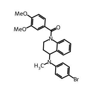 COc1ccc(C(=O)N2CCC(N(C)c3ccc(Br)cc3)c3ccccc32)cc1OC